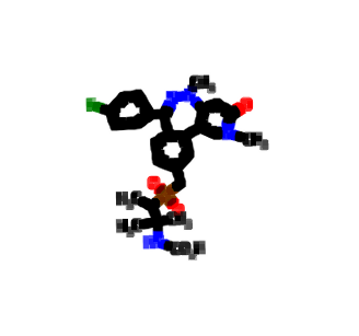 CC(C(C)(C)NC(=O)O)S(=O)(=O)Cc1ccc2c(c1)-c1cn(C)c(=O)cc1N(C)N=C2c1ccc(F)cc1